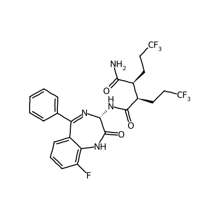 NC(=O)[C@@H](CCC(F)(F)F)[C@@H](CCC(F)(F)F)C(=O)N[C@H]1N=C(c2ccccc2)c2cccc(F)c2NC1=O